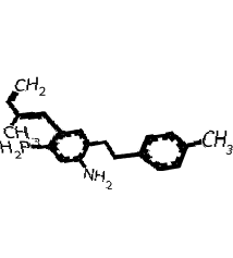 C=C/C(C)=C/c1cc(CCc2ccc(C)cc2)c(N)cc1P